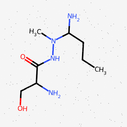 CCCC(N)N(C)NC(=O)C(N)CO